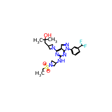 CCS(=O)(=O)N1CC(Nc2nc(N3CC(CC(C)(C)O)C3)c3cnn(-c4cccc(C(F)F)c4)c3n2)C1